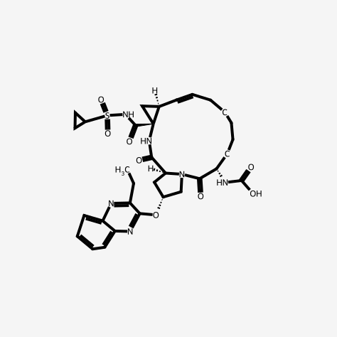 CCc1nc2ccccc2nc1O[C@@H]1C[C@H]2C(=O)N[C@]3(C(=O)NS(=O)(=O)C4CC4)C[C@H]3/C=C\CCCCC[C@H](NC(=O)O)C(=O)N2C1